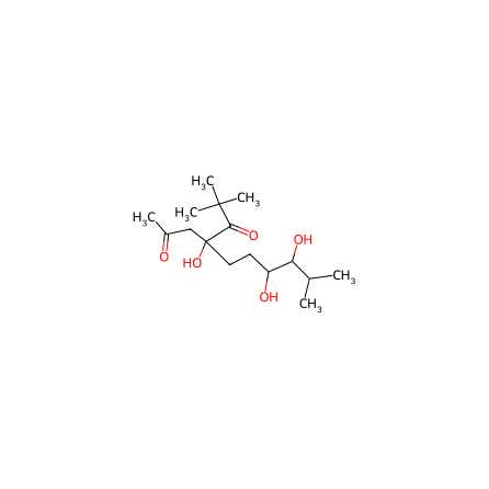 CC(=O)CC(O)(CCC(O)C(O)C(C)C)C(=O)C(C)(C)C